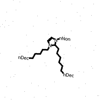 CCCCCCCCCCCCCCCCC1N(CCCCCCCCC)C=CN1CCCCCCCCCCCCCCC